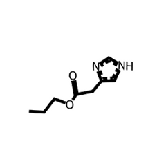 CCCOC(=O)Cc1c[nH]cn1